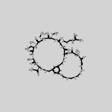 CC[C@H](C)[C@@H]1NC(=O)[C@H]([C@@H](C)O)NC(=O)[C@H](CC(=O)O)NC(=O)[C@H](CO)NC(=O)[C@H](CCCNC(=N)N)NC(=O)[C@@H]2CSCc3cc(cc(c3)OCCCCCCO/N=C/C(=O)N[C@@H](C)C(=O)N2)CSC[C@@H](C(N)=O)NC1=O